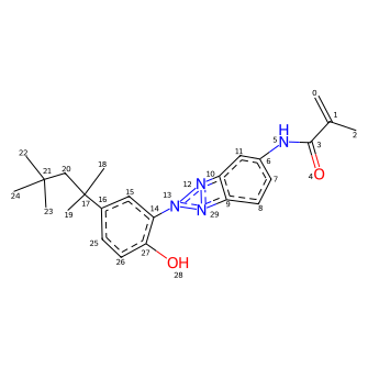 C=C(C)C(=O)Nc1ccc2c(c1)n1n(-c3cc(C(C)(C)CC(C)(C)C)ccc3O)n21